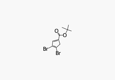 CC(C)(C)OC(=O)C1=CC(Br)=C(Br)C1